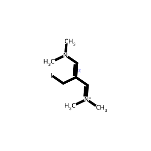 CN(C)/C=C(/C=[N+](C)C)CI